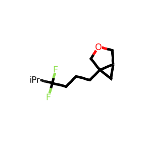 CC(C)C(F)(F)CCCC12COCC1C2